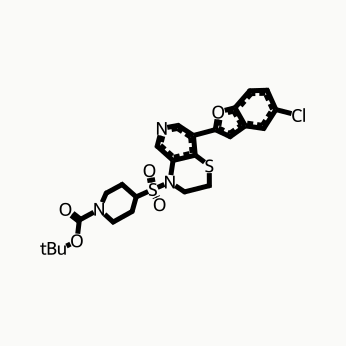 CC(C)(C)OC(=O)N1CCC(S(=O)(=O)N2CCSc3c(-c4cc5cc(Cl)ccc5o4)cncc32)CC1